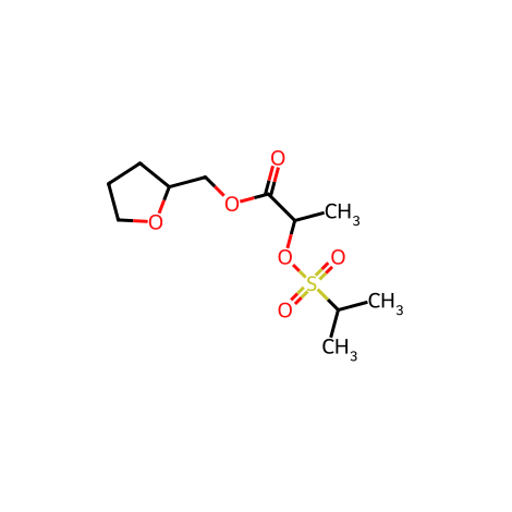 CC(OS(=O)(=O)C(C)C)C(=O)OCC1CCCO1